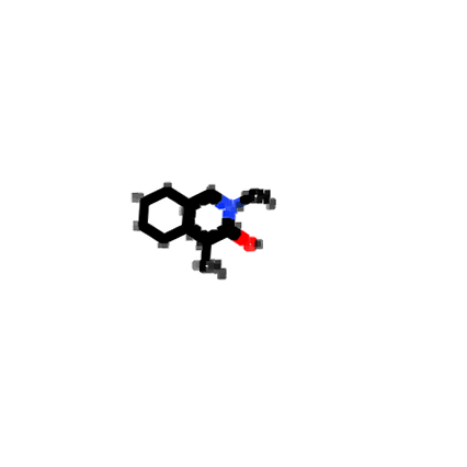 Cc1c2c(cn(C)c1=O)CCCC2